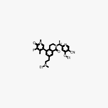 CCOc1cc([C@H](C)N2CCc3c(cc(CCN(C)CC)cc3-c3cn(C)c(=O)c(F)c3C)C2=O)ncc1C#N